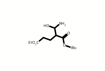 CCOC(=O)CCC(C(=O)OC(C)(C)C)C(N)O